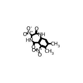 Cc1cc2c(c([N+](=O)[O-])c1C)C(=O)NC([N+](=O)[O-])C(=O)N2